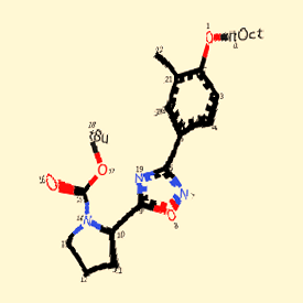 CCCCCCCCOc1ccc(-c2noc(C3CCCN3C(=O)OC(C)(C)C)n2)cc1C